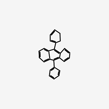 C1=CCCC(c2c3ccccc3c(-c3ccccc3)c3ccccc23)=C1